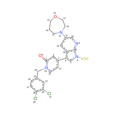 O=c1cc(-c2cn(S)c3ncc(N4CCCOCC4)cc23)ccn1Cc1ccc(Cl)c(Cl)c1